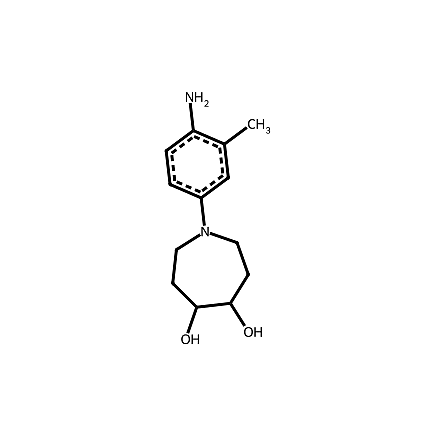 Cc1cc(N2CCC(O)C(O)CC2)ccc1N